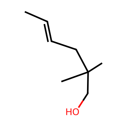 CC=CCC(C)(C)CO